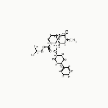 CN1CC[C@@]2(CCCN(C(=O)OCC(F)F)[C@H]2COC2CCC(c3ccccc3)CC2)NC1=O